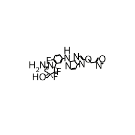 C[C@@]1(CO)SC(N)=N[C@](C)(c2cc(Nc3nccc4nc(OCc5cocn5)cnc34)ccc2F)C1(F)F